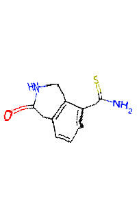 NC(=S)c1cccc2c1CNC2=O